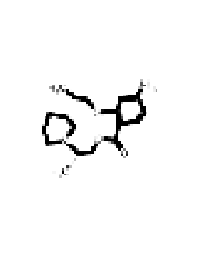 CCCOc1cc(N)ccc1C(=O)OC[C@H](C)N1CCCCC1